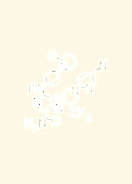 C[C@H]1CN(c2ccc(C#N)cn2)CC[C@H]1Nc1cc(Nc2ccc(N3CCCCC3=O)cc2)ncc1C(N)=O